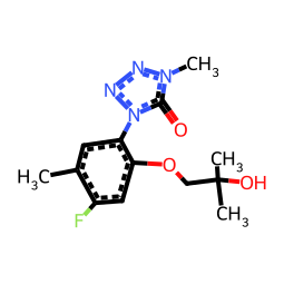 Cc1cc(-n2nnn(C)c2=O)c(OCC(C)(C)O)cc1F